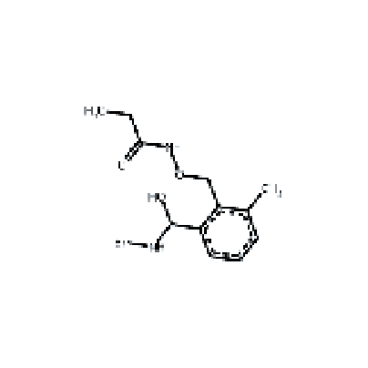 CCC(=O)NOCc1c(C)cccc1C(O)NBr